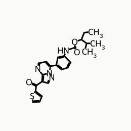 CCC(OC(=O)Nc1cccc(-c2ccnc3c(C(=O)c4cccs4)cnn23)c1)C(C)C